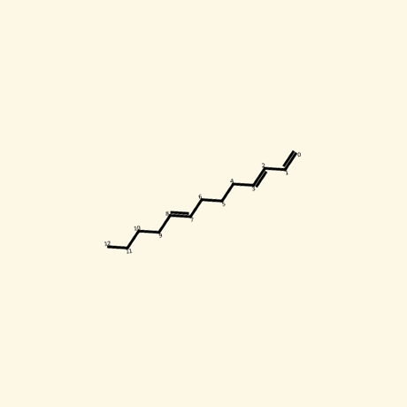 C=CC=CCCCC=CCCCC